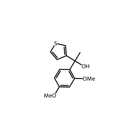 COc1ccc(C(C)(O)c2ccsc2)c(OC)c1